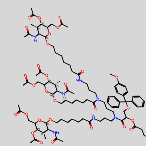 COc1ccc(C(OCC(OC(=O)CCC(=O)O)C(=O)N(CCCNC(=O)CCCCCCO[C@@H]2OC(COC(C)=O)[C@H](OC(C)=O)[C@H](C)C2NC(C)=O)CCCN(CCCNC(=O)CCCCCCO[C@@H]2OC(COC(C)=O)[C@H](OC(C)=O)[C@H](C)C2NC(C)=O)C(=O)CCCCCCO[C@@H]2OC(COC(C)=O)[C@H](OC(C)=O)[C@H](C)C2NC(C)=O)(c2ccccc2)c2ccc(OC)cc2)cc1